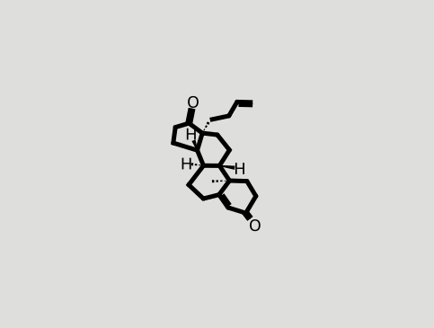 C=CCC[C@]12CC[C@H]3[C@@H](CCC4=CC(=O)CC[C@@]43C)[C@@H]1CCC2=O